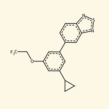 FC(F)(F)COc1cc(-c2ccc3nsnc3c2)cc(C2[CH]C2)c1